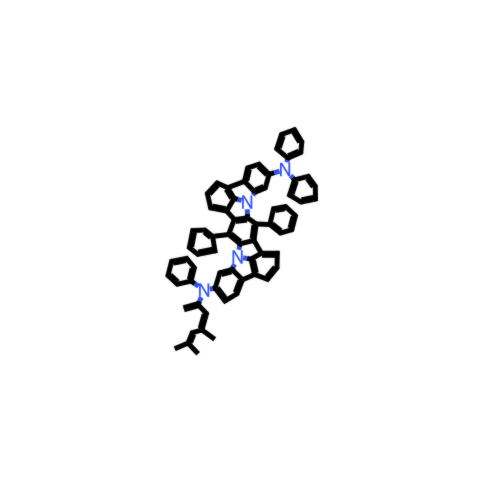 C=C(/C=C(/C)C=C(C)C)N(c1ccccc1)c1ccc2c3cccc4c5c(-c6ccccc6)c6c(c(-c7ccccc7)c5n(c2c1)c34)c1cccc2c3ccc(N(c4ccccc4)c4ccccc4)cc3n6c21